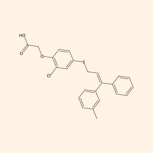 Cc1cccc(/C(=C\CSc2ccc(OCC(=O)O)c(Cl)c2)c2ccccc2)c1